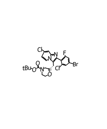 CC(C)(C)OC(=O)N1CCO[C@@H](Cc2c(-c3c(F)cc(Br)cc3Cl)nc3cc(Cl)ccn23)C1